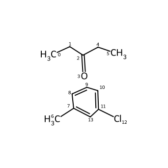 CCC(=O)CC.Cc1cccc(Cl)c1